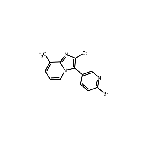 CCc1nc2c(C(F)(F)F)cccn2c1-c1ccc(Br)nc1